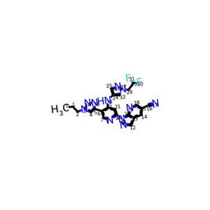 CCCn1cc(-c2cnc(-n3ncc4cc(C#N)cnc43)cc2Nc2cnn(CC(F)F)c2)nn1